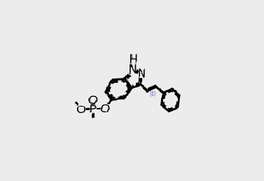 COP(C)(=O)Oc1ccc2[nH]nc(/C=C/c3ccccc3)c2c1